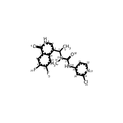 CC(c1c[nH]c(=O)c2cc(F)c(F)cc12)N(C)C(=O)Nc1ccnc(Cl)c1